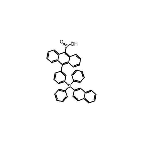 O=S(O)c1c2ccccc2c(-c2cccc([Si](c3ccccc3)(c3ccccc3)c3ccc4ccccc4c3)c2)c2ccccc12